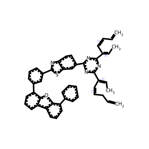 C=C/C=C\C(=C/C)c1nc(C(/C=C\CC=C)=C/C)nc(-c2ccc3nc(-c4cccc(-c5cccc6c5oc5c(-c7ccccc7)cccc56)c4)sc3c2)n1